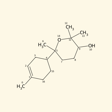 CC1=CCC(C2(C)CCC(O)C(C)(C)O2)CC1